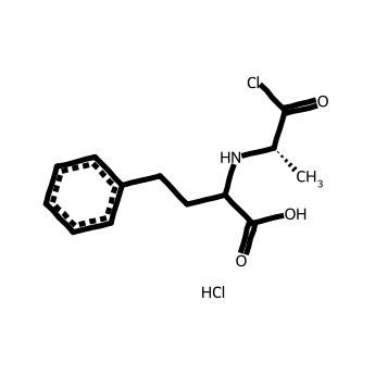 C[C@H](NC(CCc1ccccc1)C(=O)O)C(=O)Cl.Cl